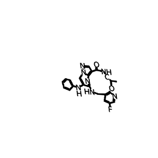 CC1CNC(=O)c2cnn3cc(Nc4ccccc4)c(nc23)NCc2cc(F)cnc2O1